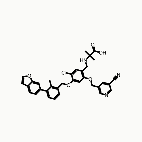 Cc1c(COc2cc(OCc3cncc(C#N)c3)c(CNC(C)(C)C(=O)O)cc2Cl)cccc1-c1ccc2ccoc2c1